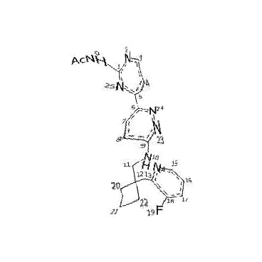 CC(=O)Nc1nccc(-c2ccc(NCC3(c4ncccc4F)CCC3)nn2)n1